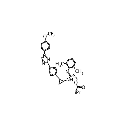 Cc1cccc(C)c1/N=C(/NC1CC1c1ccc(-c2ncn(-c3ccc(OC(F)(F)F)cc3)n2)cc1)SCOC(=O)C(C)C